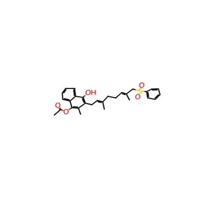 CC(=O)Oc1c(C)c(C/C=C(\C)CC/C=C(\C)CS(=O)(=O)c2ccccc2)c(O)c2ccccc12